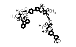 COc1c(OCCCOc2cn3c(c2OC)C=[N+](O)C2=CC=C(c4ccc5c(c4)OCO5)CC2C3)cn2c1C=[N+]([O-])C1=CC=C(c3ccc(NC(=O)C(C)NC(=O)C(C(C)C)N(CC4c5ccccc5-c5ccccc54)C(=O)[O-])cc3)CC1C2